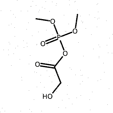 COP(=O)(OC)OC(=O)CO